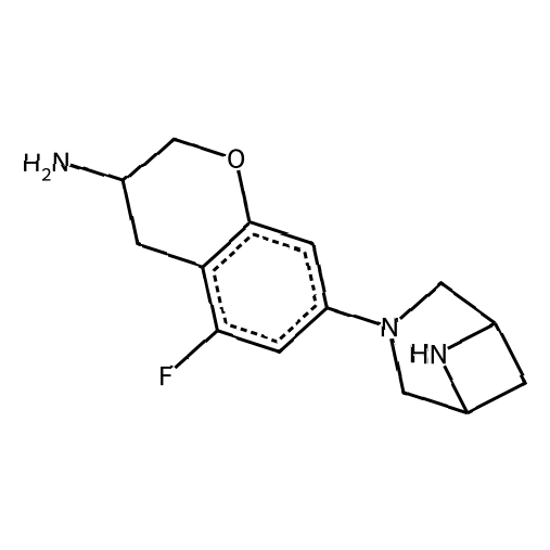 NC1COc2cc(N3CC4CC(C3)N4)cc(F)c2C1